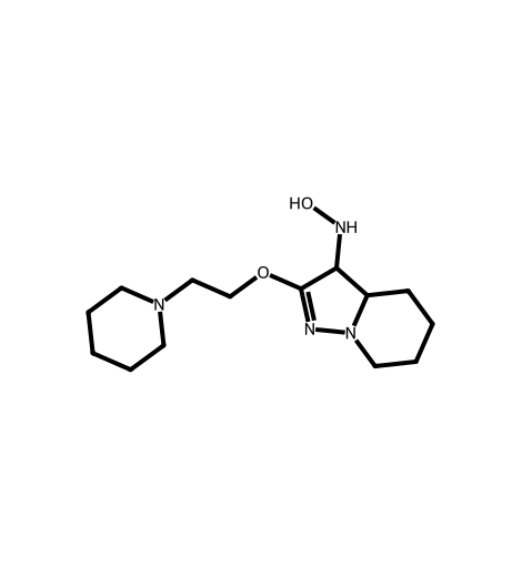 ONC1C(OCCN2CCCCC2)=NN2CCCCC12